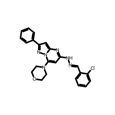 Clc1ccccc1/C=N/Nc1cc(N2CCOCC2)n2nc(-c3ccccc3)cc2n1